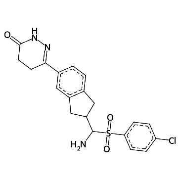 NC(C1Cc2ccc(C3=NNC(=O)CC3)cc2C1)S(=O)(=O)c1ccc(Cl)cc1